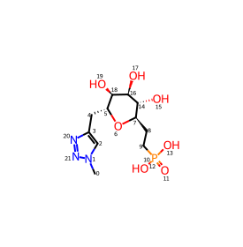 Cn1cc(C[C@H]2O[C@H](CCP(=O)(O)O)[C@@H](O)[C@H](O)[C@@H]2O)nn1